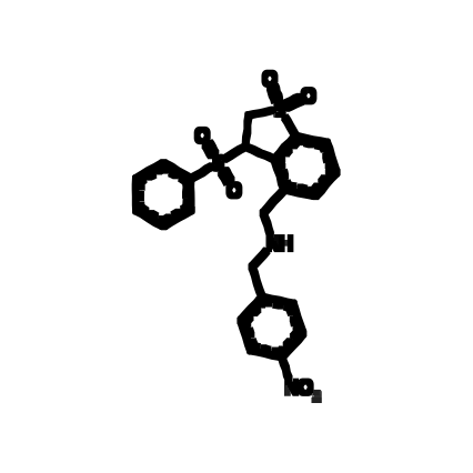 O=[N+]([O-])c1ccc(CNCc2cccc3c2C(S(=O)(=O)c2ccccc2)CS3(=O)=O)cc1